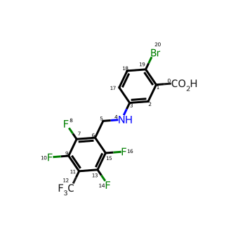 O=C(O)c1cc(NCc2c(F)c(F)c(C(F)(F)F)c(F)c2F)ccc1Br